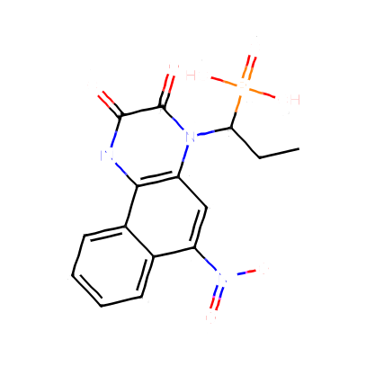 CCC(n1c(=O)c(=O)[nH]c2c3ccccc3c([N+](=O)[O-])cc21)P(=O)(O)O